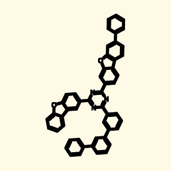 c1ccc(-c2cccc(-c3cccc(-c4nc(-c5ccc6c(c5)oc5cc(-c7ccccc7)ccc56)nc(-c5ccc6oc7ccccc7c6c5)n4)c3)c2)cc1